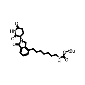 CC(C)(C)OC(=O)NCCCCCCCc1cccc2c1CN(C1CCC(=O)NC1=O)C2=O